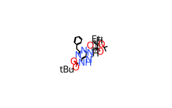 CC[C@H]1O[C@@H](n2cnc3c(NC(=O)OC(C)(C)C)nc(Cc4ccccc4)nc32)[C@@H]2OC(C)(C)O[C@@H]21